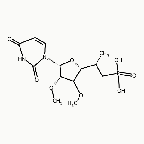 COC1[C@@H]([C@H](C)CP(=O)(O)O)O[C@@H](n2ccc(=O)[nH]c2=O)[C@H]1OC